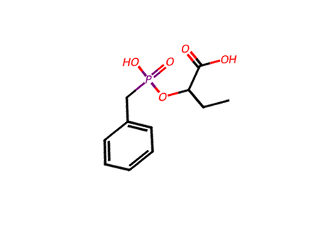 CCC(OP(=O)(O)Cc1ccccc1)C(=O)O